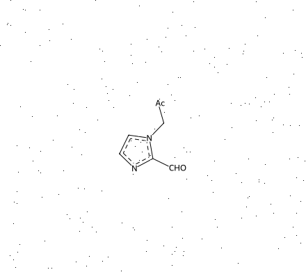 CC(=O)Cn1ccnc1C=O